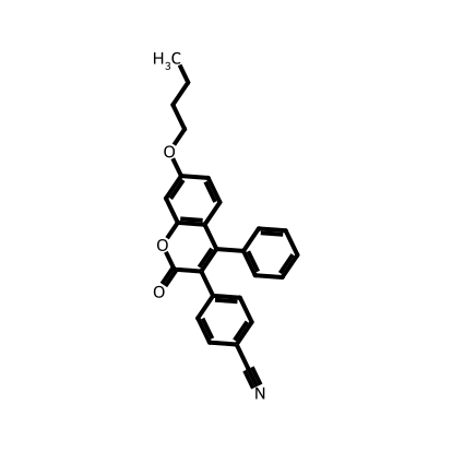 CCCCOc1ccc2c(-c3ccccc3)c(-c3ccc(C#N)cc3)c(=O)oc2c1